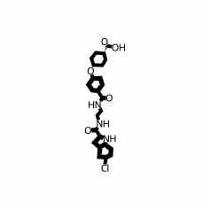 O=C(NCCNC(=O)c1cc2cc(Cl)ccc2[nH]1)c1ccc(O[C@H]2CC[C@@H](C(=O)O)CC2)cc1